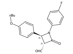 CCCCOc1ccc([C@@H]2[C@@H](C=O)C(=O)N2c2ccc(F)cc2)cc1